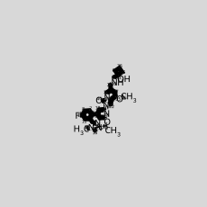 CCOc1cc(-c2ccc(F)cc2-c2nncn2C)cc(-n2cc3c(OC)cc(CNCC4(O)CCC4)cn3c2=O)n1